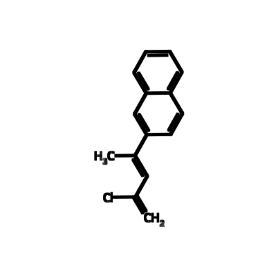 C=C(Cl)/C=C(\C)c1ccc2ccccc2c1